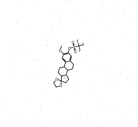 COc1cc2c(cc1OS(=O)(=O)C(F)(F)F)CCC1C2CC[C@@]2(C)C1CCC21OCCO1